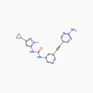 Cn1nc(C2CC2)cc1NC(=O)Nc1cncc(C#Cc2cnc(N)nc2)c1